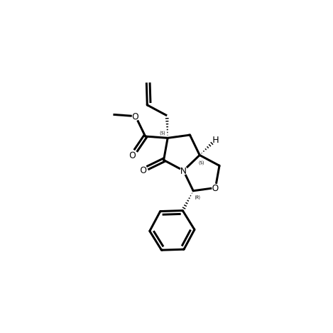 C=CC[C@]1(C(=O)OC)C[C@H]2CO[C@H](c3ccccc3)N2C1=O